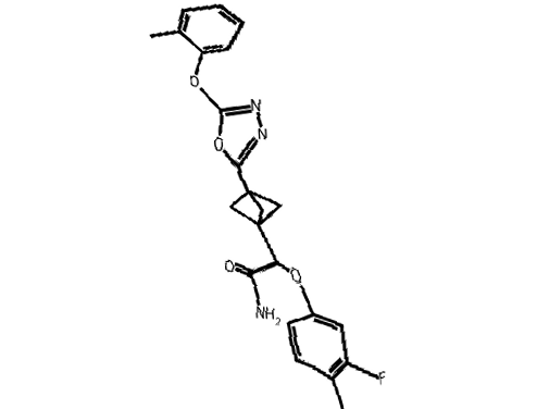 Cc1ccccc1Oc1nnc(C23CC(C(Oc4ccc(Cl)c(F)c4)C(N)=O)(C2)C3)o1